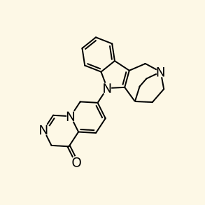 O=C1CN=CN2CC(n3c4c(c5ccccc53)CN3CCC4CC3)=CC=C12